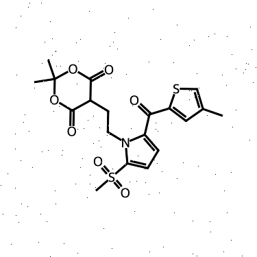 Cc1csc(C(=O)c2ccc(S(C)(=O)=O)n2CCC2C(=O)OC(C)(C)OC2=O)c1